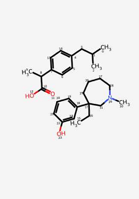 CC(C)Cc1ccc(C(C)C(=O)O)cc1.CCC1(c2cccc(O)c2)CCCCN(C)C1